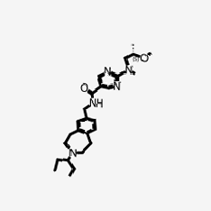 CCC(CC)N1CCc2ccc(CNC(=O)c3cnc(N(C)C[C@H](C)OC)nc3)cc2CC1